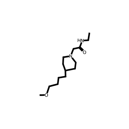 CCNC(=O)CN1CCC(CCCCOC)CC1